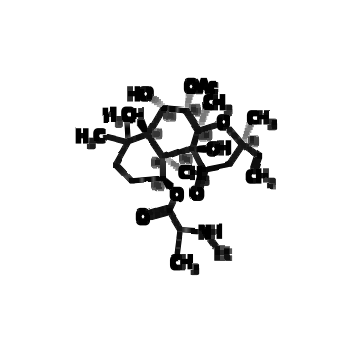 C=C[C@@]1(C)CC(=O)[C@]2(O)[C@@]3(C)[C@@H](OC(=O)C(C)NCC)CCC(C)(C)[C@@H]3[C@H](O)[C@H](OC(C)=O)[C@@]2(C)O1